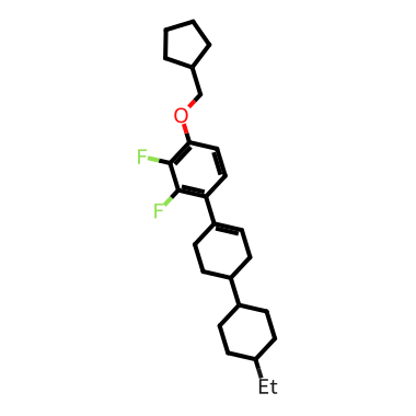 CCC1CCC(C2CC=C(c3ccc(OCC4CCCC4)c(F)c3F)CC2)CC1